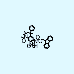 CC(=O)N1c2cc([N+](=O)[O-])c(NC(=O)OCC3c4ccccc4-c4ccccc43)cc2C(C)(c2ccccc2)CC1(C)C